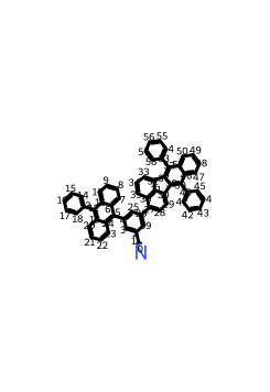 N#Cc1cc(-c2c3ccccc3c(-c3ccccc3)c3ccccc23)cc(-c2ccc3c4c(cccc24)-c2c-3c(-c3ccccc3)c3ccccc3c2-c2ccccc2)c1